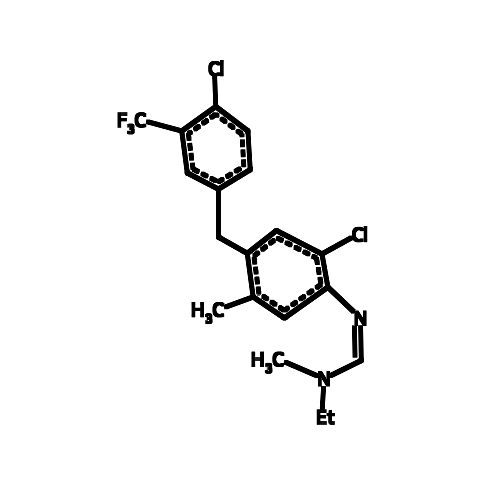 CCN(C)/C=N\c1cc(C)c(Cc2ccc(Cl)c(C(F)(F)F)c2)cc1Cl